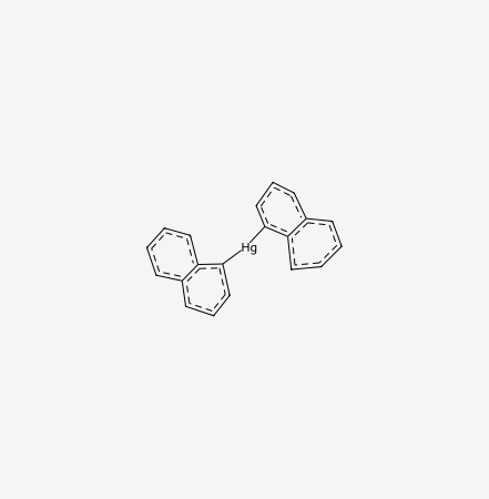 c1ccc2[c]([Hg][c]3cccc4ccccc34)cccc2c1